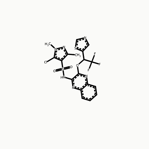 Cc1nn(C)c(Cl)c1S(=O)(=O)Nc1nc2ccccc2nc1OC(c1cncs1)C(F)(F)F